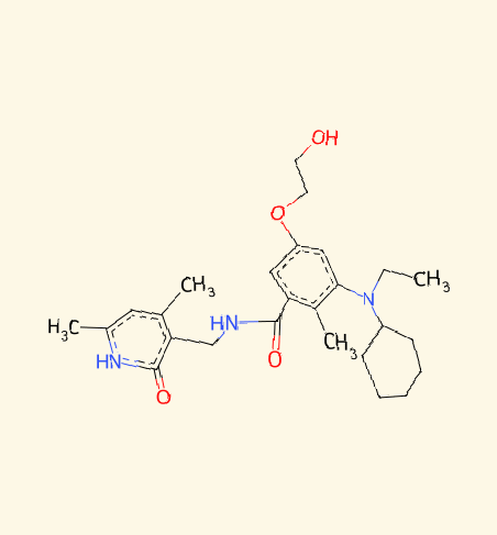 CCN(c1cc(OCCO)cc(C(=O)NCc2c(C)cc(C)[nH]c2=O)c1C)C1CCCCC1